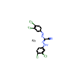 N#CC(/N=N/c1ccc(Cl)c(Cl)c1)=N\Nc1ccc(Cl)c(Cl)c1.[KH]